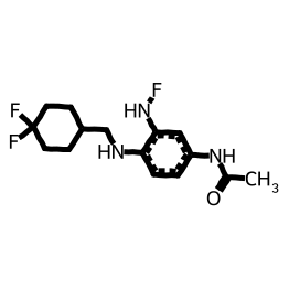 CC(=O)Nc1ccc(NCC2CCC(F)(F)CC2)c(NF)c1